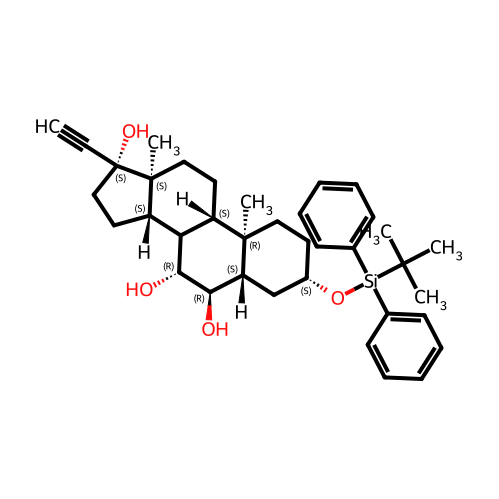 C#C[C@]1(O)CC[C@H]2C3[C@@H](O)[C@H](O)[C@H]4C[C@@H](O[Si](c5ccccc5)(c5ccccc5)C(C)(C)C)CC[C@]4(C)[C@H]3CC[C@@]21C